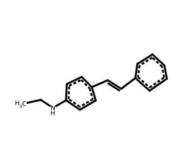 CCNc1ccc(C=Cc2ccccc2)cc1